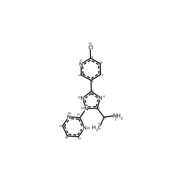 CC(N)c1nc(-c2ccc(Cl)nc2)nn1-c1ncccn1